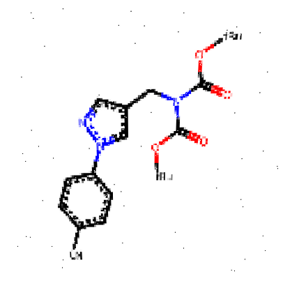 CC(C)(C)OC(=O)N(Cc1cnn(-c2ccc(C#N)cc2)c1)C(=O)OC(C)(C)C